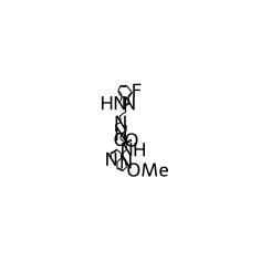 COc1ccc2nccc(NC(=O)ON3CCN(CCc4nc5c(F)cccc5[nH]4)CC3)c2n1